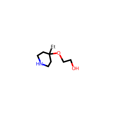 CCC1(OCCO)CCNCC1